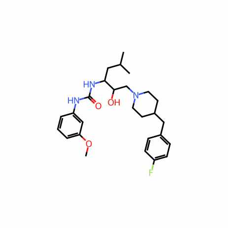 COc1cccc(NC(=O)NC(CC(C)C)C(O)CN2CCC(Cc3ccc(F)cc3)CC2)c1